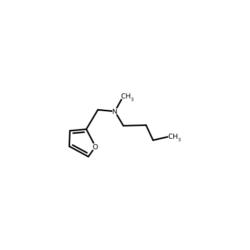 CCCCN(C)Cc1ccco1